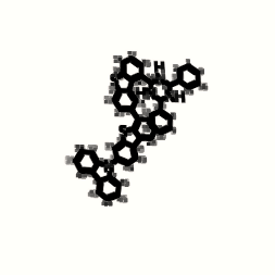 c1ccc(C2NC(c3ccccc3)NC(c3cccc4sc5ccc(-c6cccc7c6sc6cc(-n8c9ccccc9c9ccccc98)ccc67)cc5c34)N2)cc1